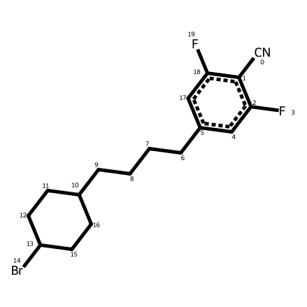 N#Cc1c(F)cc(CCCCC2CCC(Br)CC2)cc1F